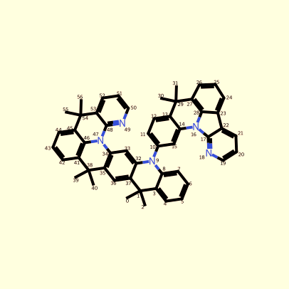 CC1(C)c2ccccc2N(c2ccc3c(c2)-n2c4ncccc4c4cccc(c42)C3(C)C)c2cc3c(cc21)C(C)(C)c1cccc2c1N3c1ncccc1C2(C)C